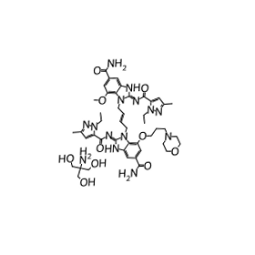 CCn1nc(C)cc1C(=O)/N=c1\[nH]c2cc(C(N)=O)cc(OC)c2n1C/C=C/Cn1/c(=N/C(=O)c2cc(C)nn2CC)[nH]c2cc(C(N)=O)cc(OCCCN3CCOCC3)c21.NC(CO)(CO)CO